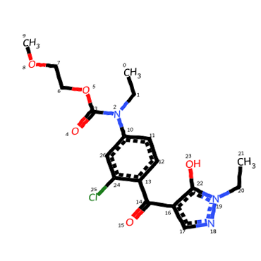 CCN(C(=O)OCCOC)c1ccc(C(=O)c2cnn(CC)c2O)c(Cl)c1